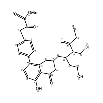 COC(=O)C(=O)Cc1ccc(-c2ccc(O)c3c2CC(CC(CCO)C(CO)C(=O)CC(C)=O)CC3=O)cc1